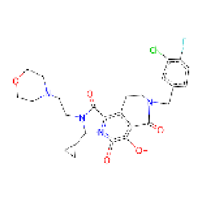 O=C1c2c(c3n(c(=O)c2O)C(C2CC2)N(CCN2CCOCC2)C3=O)CCN1Cc1ccc(F)c(Cl)c1